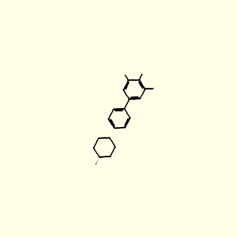 CCCCCCCCCC[C@H]1CC[C@H](c2ccc(-c3cc(F)c(F)c(F)c3)cc2)CC1